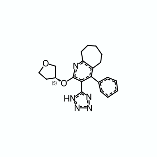 c1ccc(-c2c3c(nc(O[C@H]4CCOC4)c2-c2nnn[nH]2)CCCCC3)cc1